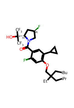 CCC(C)CC(CC)(COc1cc(F)c(C(=O)N2C[C@H](F)C[C@H]2C(O)(C(F)(F)F)C(F)(F)F)cc1C1CC1)CC(C)C